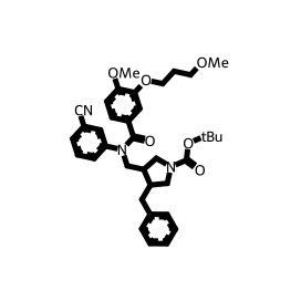 COCCCOc1cc(C(=O)N(CC2CN(C(=O)OC(C)(C)C)CC2Cc2ccccc2)c2cccc(C#N)c2)ccc1OC